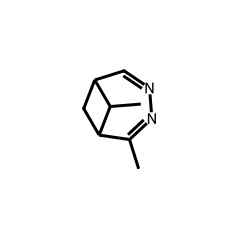 CC1=NN=CC2CC1C2C